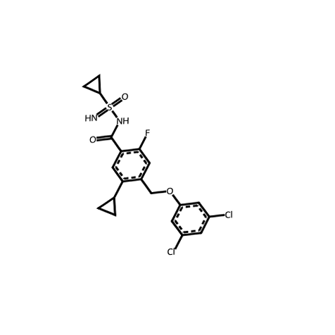 N=S(=O)(NC(=O)c1cc(C2CC2)c(COc2cc(Cl)cc(Cl)c2)cc1F)C1CC1